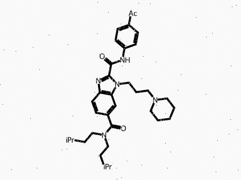 CC(=O)c1ccc(NC(=O)c2nc3ccc(C(=O)N(CCC(C)C)CCC(C)C)cc3n2CCCN2CCCCC2)cc1